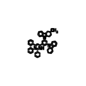 CC1CCc2c(c3ccccc3n2-c2cc(C3C=C(c4ccccc4-c4ccccc4)N=C(C4=CC=CCC4)N3)cc(-n3c4c(c5ccccc53)C=CCC4)c2)C1